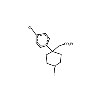 CCOC(=O)CC1(c2ccc(Cl)cc2)CCN(I)CC1